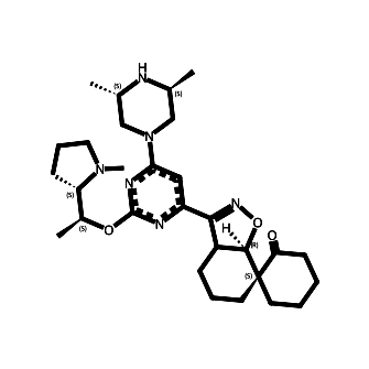 C[C@H](Oc1nc(C2=NO[C@@H]3C2CCC[C@@]32CCCCC2=O)cc(N2C[C@H](C)N[C@@H](C)C2)n1)[C@@H]1CCCN1C